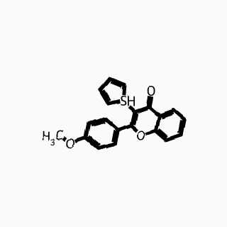 COc1ccc(-c2oc3ccccc3c(=O)c2[SH]2C=CC=C2)cc1